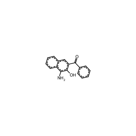 Nc1c(O)c(C(=O)c2ccccc2)cc2ccccc12